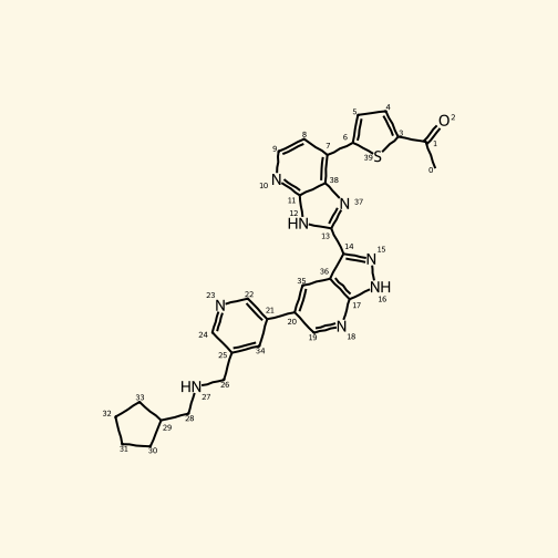 CC(=O)c1ccc(-c2ccnc3[nH]c(-c4n[nH]c5ncc(-c6cncc(CNCC7CCCC7)c6)cc45)nc23)s1